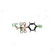 O=S(=O)(c1ccc(Br)cc1)C(Cl)(Cl)SCl